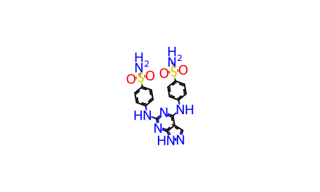 NS(=O)(=O)c1ccc(Nc2nc(Nc3ccc(S(N)(=O)=O)cc3)c3cn[nH]c3n2)cc1